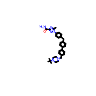 Cc1nc(C(N)=O)nn1-c1ccc(Cc2ccc(-c3ccc(CN4CCN(C(C)(C)C)CC4)cc3)cc2)cc1